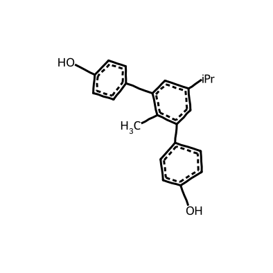 Cc1c(-c2ccc(O)cc2)cc(C(C)C)cc1-c1ccc(O)cc1